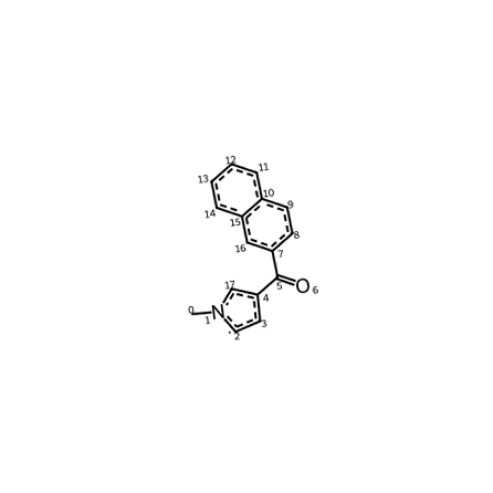 Cn1[c]cc(C(=O)c2ccc3ccccc3c2)c1